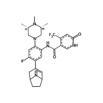 C[C@@H]1CN(c2cc(F)c(C3=CC4CCC(C3)N4)cc2NC(=O)c2c[nH]c(=O)cc2C(F)(F)F)C[C@H](C)N1C